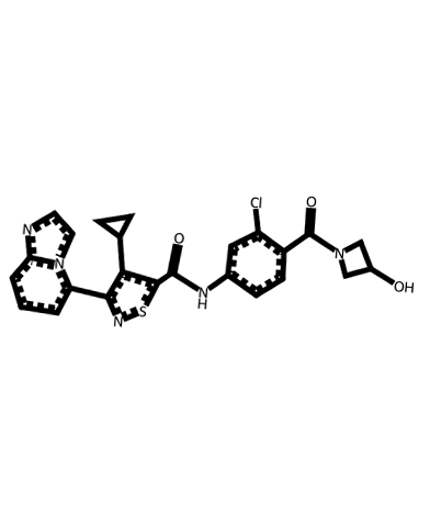 O=C(Nc1ccc(C(=O)N2CC(O)C2)c(Cl)c1)c1snc(-c2cccc3nccn23)c1C1CC1